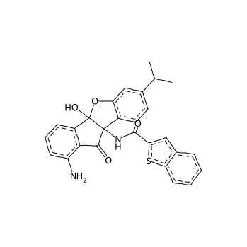 CC(C)c1ccc2c(c1)OC1(O)c3cccc(N)c3C(=O)C21NC(=O)c1cc2ccccc2s1